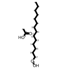 CC(=O)O.CCCCCCCCCCCCCCOO